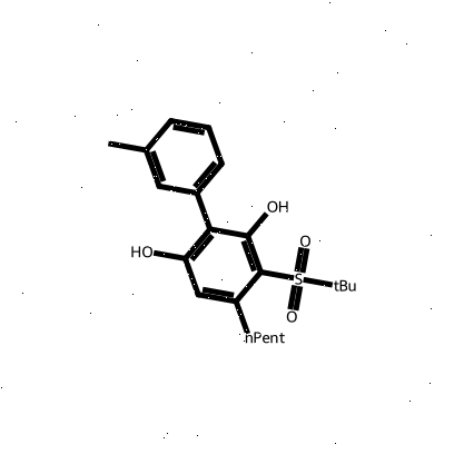 CCCCCc1cc(O)c(-c2cccc(C)c2)c(O)c1S(=O)(=O)C(C)(C)C